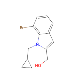 OCc1cc2cccc(Br)c2n1CC1CC1